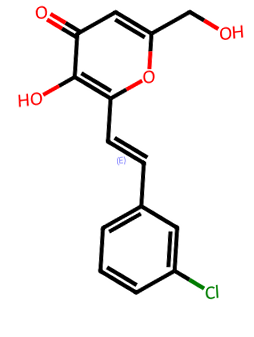 O=c1cc(CO)oc(/C=C/c2cccc(Cl)c2)c1O